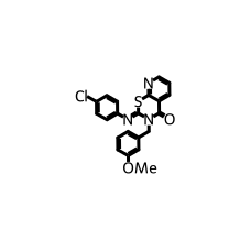 COc1cccc(Cn2c(=O)c3cccnc3s/c2=N\c2ccc(Cl)cc2)c1